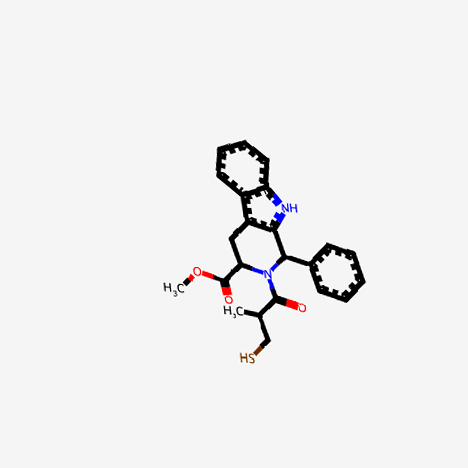 COC(=O)C1Cc2c([nH]c3ccccc23)C(c2ccccc2)N1C(=O)C(C)CS